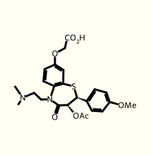 COc1ccc([C@@H]2Sc3cc(OCC(=O)O)ccc3N(CCN(C)C)C(=O)[C@@H]2OC(C)=O)cc1